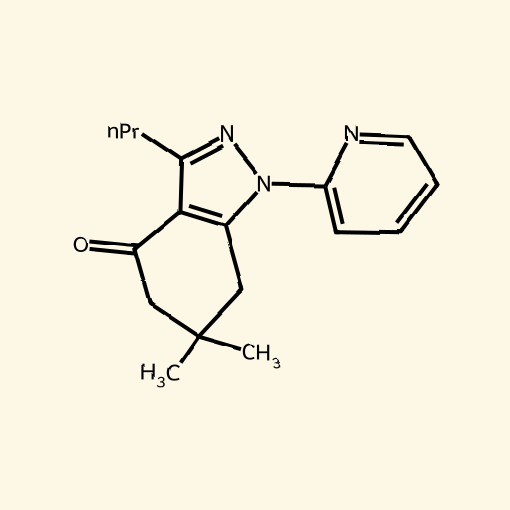 CCCc1nn(-c2ccccn2)c2c1C(=O)CC(C)(C)C2